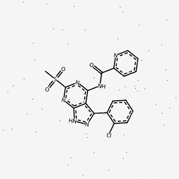 CS(=O)(=O)c1nc(NC(=O)c2ccccn2)c2c(-c3ccccc3Cl)n[nH]c2n1